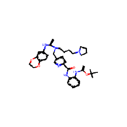 C=C(Nc1ccccc1NC(=O)c1ccc(CN(CCCCN2CCCC2)C(=C)Nc2ccc3c(c2)OCCO3)cn1)OC(C)(C)C